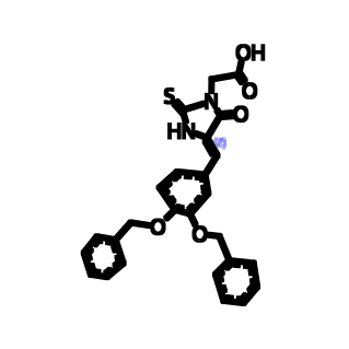 O=C(O)CN1C(=O)/C(=C/c2ccc(OCc3ccccc3)c(OCc3ccccc3)c2)NC1=S